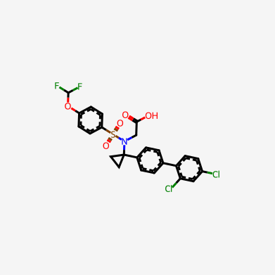 O=C(O)CN(C1(c2ccc(-c3ccc(Cl)cc3Cl)cc2)CC1)S(=O)(=O)c1ccc(OC(F)F)cc1